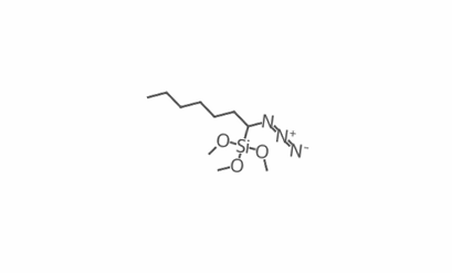 CCCCCCC(N=[N+]=[N-])[Si](OC)(OC)OC